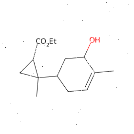 CCOC(=O)C1CC1(C)C1CC=C(C)C(O)C1